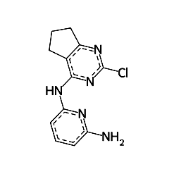 Nc1cccc(Nc2nc(Cl)nc3c2CCC3)n1